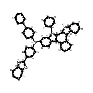 c1ccc(-c2ccc(N(c3ccc(-c4nc5ccccc5o4)cc3)c3ccc4c5c6ccccc6c6c7ccccc7sc6c5n(-c5ccccc5)c4c3)cc2)cc1